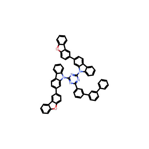 c1ccc(-c2cccc(-c3cccc(-c4nc(-n5c6ccccc6c6ccc(-c7ccc8oc9ccccc9c8c7)cc65)nc(-n5c6ccccc6c6ccc(-c7ccc8oc9ccccc9c8c7)cc65)n4)c3)c2)cc1